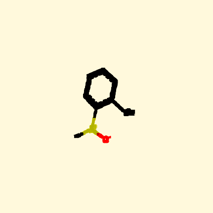 C[S+]([O-])c1ccccc1C(C)(C)C